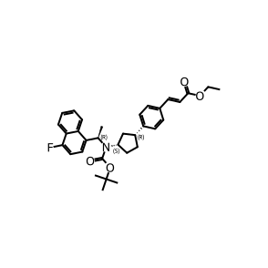 CCOC(=O)C=Cc1ccc([C@@H]2CC[C@H](N(C(=O)OC(C)(C)C)[C@H](C)c3ccc(F)c4ccccc34)C2)cc1